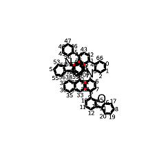 c1ccc(N(c2ccc(-c3cccc4c3oc3ccccc34)cc2)c2ccccc2-c2cccc3ccccc23)c(-c2ccc(-c3ccccc3-n3c4ccccc4c4ccccc43)cc2)c1